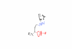 [CH2]CNCC(O)CC